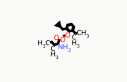 CCC(C)C(N)C(=O)OCOc1c(CC2CC2)cccc1C(C)C